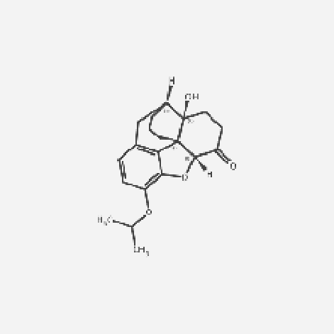 CC(C)Oc1ccc2c3c1O[C@H]1C(=O)CC[C@@]4(O)[C@H](CCC[C@]314)C2